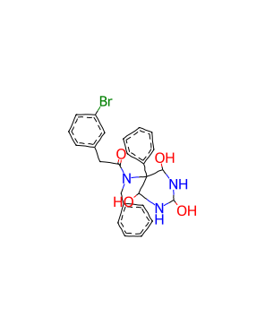 O=C(Cc1cccc(Br)c1)N(Cc1ccccc1)C1(c2ccccc2)C(O)NC(O)NC1O